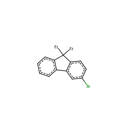 CCC1(CC)c2ccccc2-c2cc(Br)ccc21